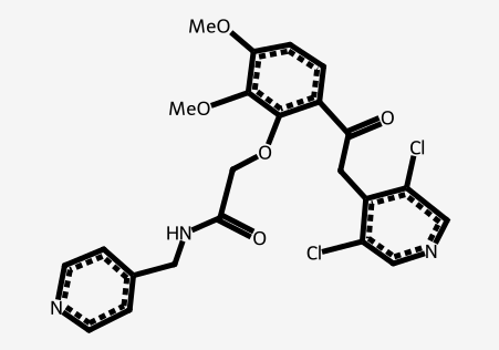 COc1ccc(C(=O)Cc2c(Cl)cncc2Cl)c(OCC(=O)NCc2ccncc2)c1OC